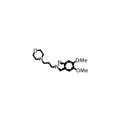 COc1cc2cn(CCCN3CCOCC3)nc2cc1OC